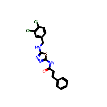 O=C(/C=C/c1ccccc1)Nc1nnc(NCc2ccc(Cl)c(Cl)c2)s1